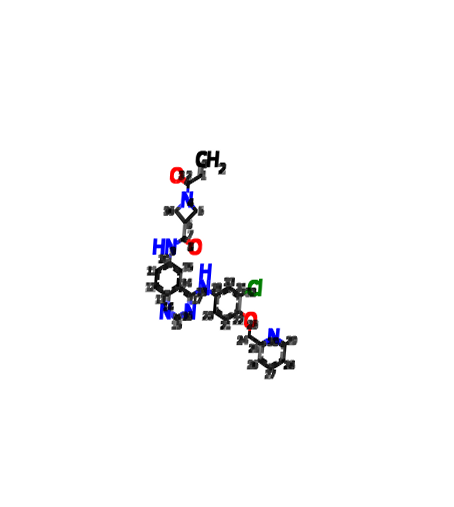 C=CC(=O)N1CC(C(=O)Nc2ccc3ncnc(Nc4ccc(OCc5ccccn5)c(Cl)c4)c3c2)C1